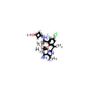 Cc1nc(C(C)c2cc(Cl)c(F)c(C(=O)NC3CC(O)C3)c2OC(C)C)n2ccnc(N)c12